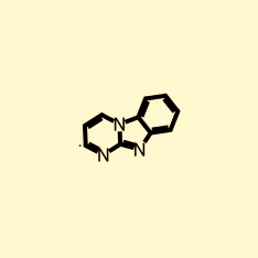 [c]1ccn2c(n1)nc1ccccc12